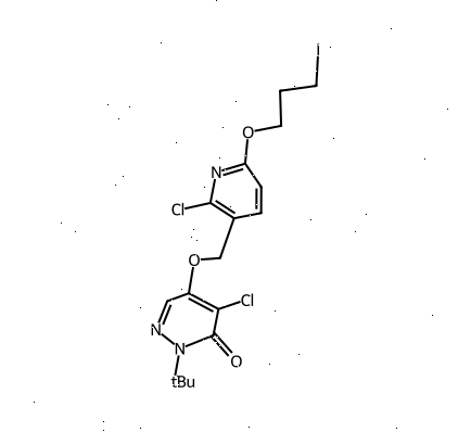 CC(C)(C)n1ncc(OCc2ccc(OCCCI)nc2Cl)c(Cl)c1=O